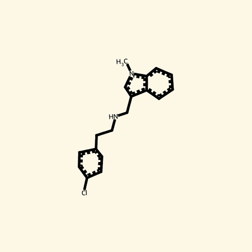 Cn1cc(CNCCc2ccc(Cl)cc2)c2ccccc21